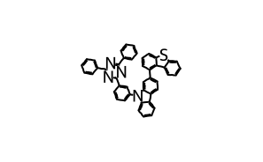 c1ccc(-c2nc(-c3ccccc3)nc(-c3cccc(-n4c5ccccc5c5ccc(-c6cccc7sc8ccccc8c67)cc54)c3)n2)cc1